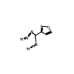 [N-]=[N+]=NC(N=[N+]=[N-])c1ccon1